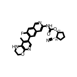 Cc1c(-c2cc3cc(NC(=O)O[C@H]4CCC[C@@H]4C#N)ncc3cc2F)cnc2c1NCCO2